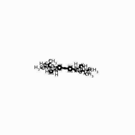 CC[C@H](NC(=O)OC)C(=O)N1CCC[C@H]1c1ncc(-c2ccc(C#Cc3ccc4nc([C@@H]5CCCN5C(=O)[C@@H](NC(=O)OC)[C@@H](C)CC)[nH]c4c3)cc2)[nH]1